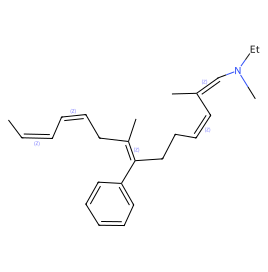 C/C=C\C=C/C/C(C)=C(/CC/C=C\C(C)=C/N(C)CC)c1ccccc1